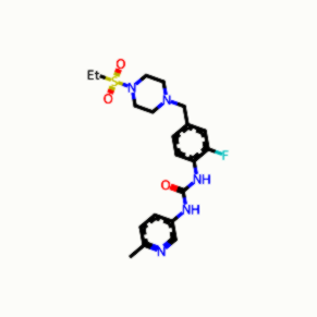 CCS(=O)(=O)N1CCN(Cc2ccc(NC(=O)Nc3ccc(C)nc3)c(F)c2)CC1